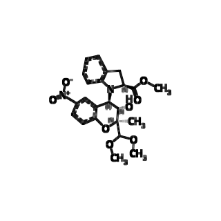 COC(=O)[C@@H]1Cc2ccccc2N1[C@@H]1c2cc([N+](=O)[O-])ccc2O[C@](C)(C(OC)OC)[C@H]1O